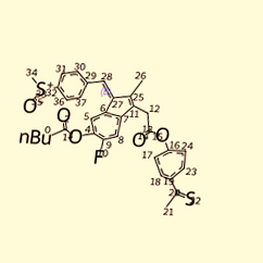 CCCCC(=O)Oc1cc2c(cc1F)C(CC(=O)Oc1ccc(C(C)=S)cc1)=C(C)/C2=C/c1ccc([S+](C)[O-])cc1